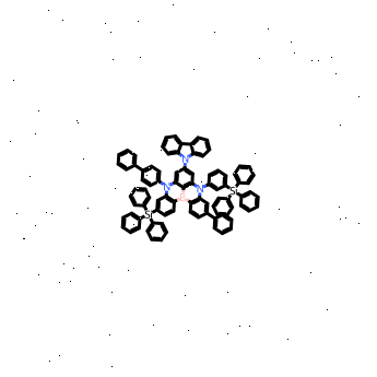 c1ccc(-c2ccc(N3c4cc([Si](c5ccccc5)(c5ccccc5)c5ccccc5)ccc4B4c5ccc(-c6ccccc6)cc5N(c5cccc([Si](c6ccccc6)(c6ccccc6)c6ccccc6)c5)c5cc(-n6c7ccccc7c7ccccc76)cc3c54)cc2)cc1